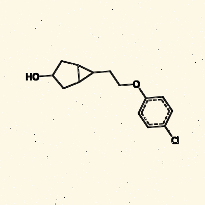 OC1CC2C(CCOc3ccc(Cl)cc3)C2C1